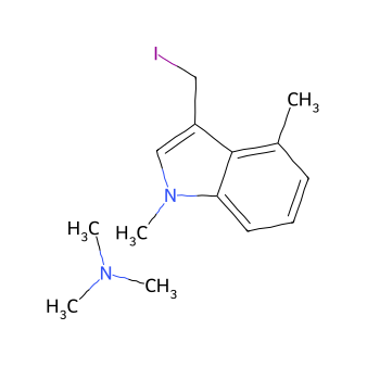 CN(C)C.Cc1cccc2c1c(CI)cn2C